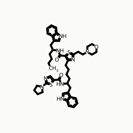 CCCCC(Cc1c[nH]c2ccccc12)NC(=O)c1sc(CCN2CCOCC2)nc1CCCCC(Cc1c[nH]c2ccccc12)NC(=O)c1cnc(N2CCCC2)s1